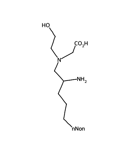 CCCCCCCCCCCCC(N)CN(CCO)CC(=O)O